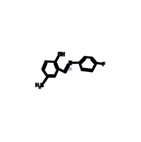 Bc1ccc(O)c(/C=N/c2ccc(F)cc2)c1